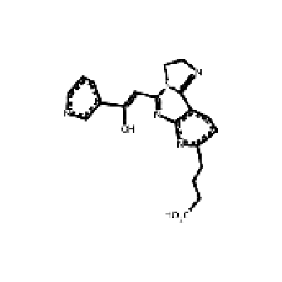 O=C(O)CCCc1ccc2c(n1)N=C(/C=C(\O)c1cccnc1)N1CCN=C21